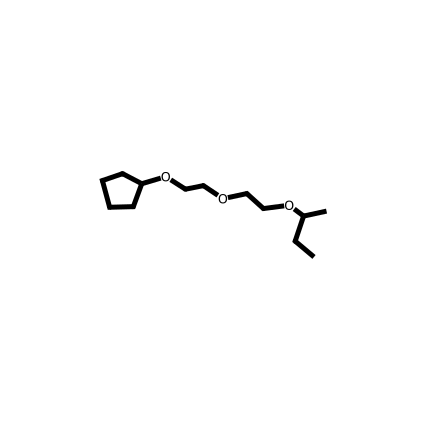 CCC(C)OCCOCCOC1CCCC1